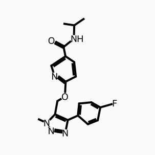 CC(C)NC(=O)c1ccc(OCc2c(-c3ccc(F)cc3)nnn2C)nc1